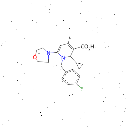 CC1=C(C(=O)O)C(C2CC2)N(Cc2ccc(F)cc2)C(N2CCOCC2)=C1